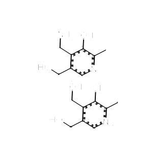 Cc1ncc(CO)c(CN)c1O.Cc1ncc(CO)c(CO)c1O